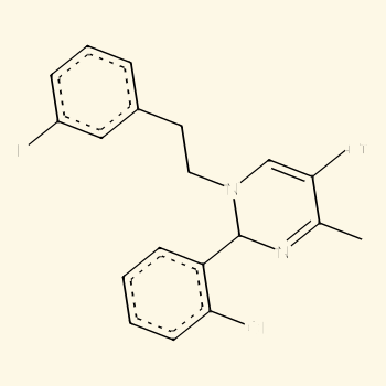 CC1=NC(c2ccccc2O)N(CCc2cccc(F)c2)C=C1C(C)C